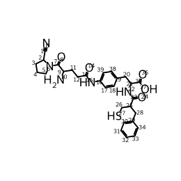 N#CC1CCCN1C(=O)C(N)CCC(=O)Nc1ccc(CC(NC(=O)C(CS)Cc2ccccc2)C(=O)O)cc1